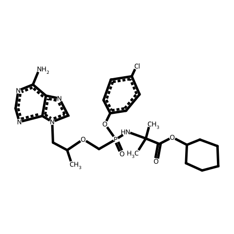 CC(Cn1cnc2c(N)ncnc21)OCP(=O)(NC(C)(C)C(=O)OC1CCCCC1)Oc1ccc(Cl)cc1